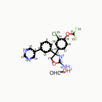 NC1=NC(c2cccc(-c3cncnc3)c2)(c2ccc(OC(F)F)c(Cl)c2)CO1.O=CO